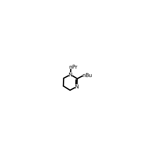 CCCCC1=NCCCN1CCC